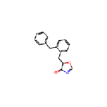 O=C1N=COC1Cc1ccccc1Cc1ccccc1